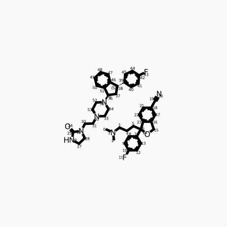 CN(C)CCCC1(c2ccc(F)cc2)OCc2cc(C#N)ccc21.O=C1NCCN1CCN1CCN([C@@H]2C[C@@H](c3ccc(F)cc3)c3ccccc32)CC1